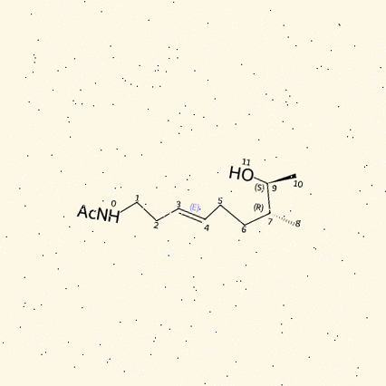 CC(=O)NCC/C=C/CC[C@@H](C)[C@H](C)O